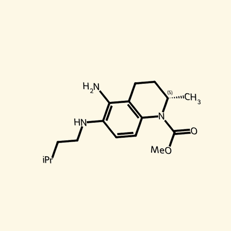 COC(=O)N1c2ccc(NCCC(C)C)c(N)c2CC[C@@H]1C